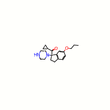 CCCOc1ccc2c(c1)C(C(=O)C1CC1)(N1CCNCC1)CC2